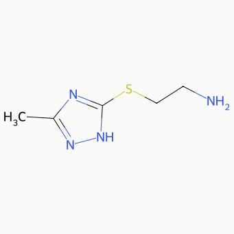 Cc1n[nH]c(SCCN)n1